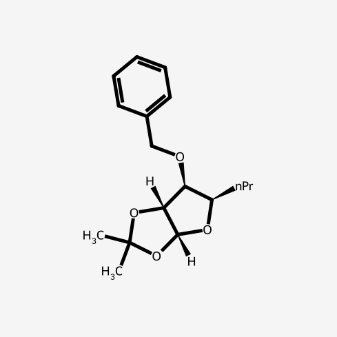 CCC[C@H]1O[C@@H]2OC(C)(C)O[C@@H]2[C@H]1OCc1ccccc1